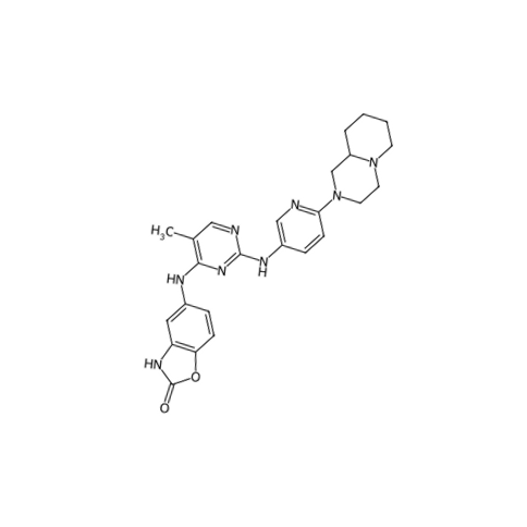 Cc1cnc(Nc2ccc(N3CCN4CCCCC4C3)nc2)nc1Nc1ccc2oc(=O)[nH]c2c1